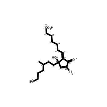 CC(C)CCCC(C)CCC1(O)C=C(Cl)C(=O)C1=CCCCCCC(=O)O